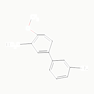 N#Cc1cccc(-c2ccc(OC(F)(F)F)c(C(=O)O)c2)c1